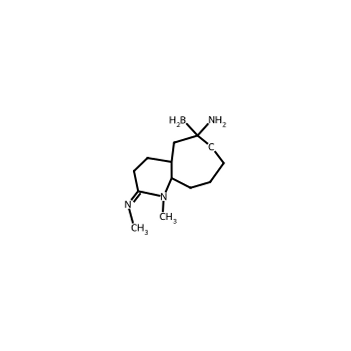 BC1(N)CCCCC2C(CC/C(=N/C)N2C)C1